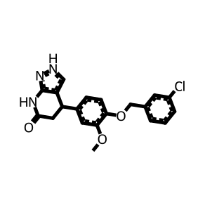 COc1cc(C2CC(=O)Nc3n[nH]cc32)ccc1OCc1cccc(Cl)c1